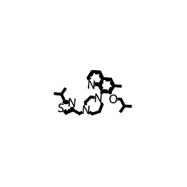 Cc1cc2cccnc2c(N2CCCN(Cc3csc(C(C)C)n3)CC2)c1OCC(C)C